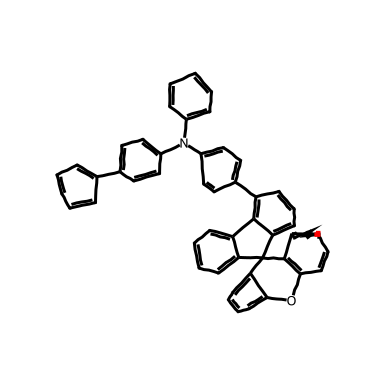 c1ccc(-c2ccc(N(c3ccccc3)c3ccc(-c4cccc5c4-c4ccccc4C54c5ccccc5Oc5ccc6ccccc6c54)cc3)cc2)cc1